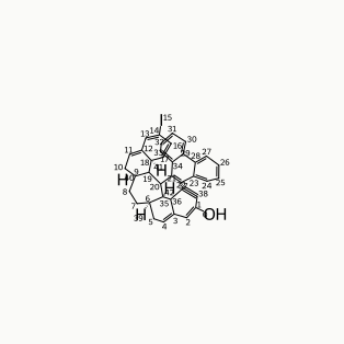 OC1=CC2=CC[C@H]3CC[C@H]4CC=C5C=C(I)C=C[C@H]5C4C(c4cc5ccccc5c5ccccc45)[C@H]3C2C#C1